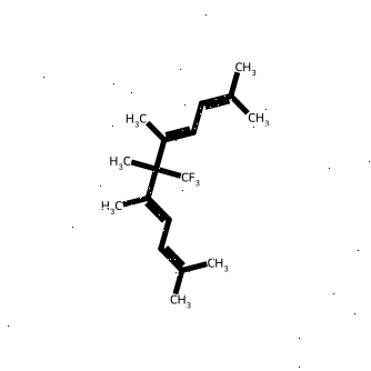 CC(C)=C/C=C(\C)C(C)(/C(C)=C/C=C(C)C)C(F)(F)F